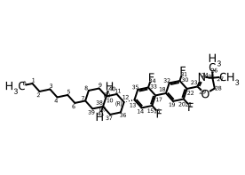 CCCCCCCC1CC[C@@H]2C[C@H](c3cc(F)c(-c4cc(F)c(C5=NC(C)(C)CO5)c(F)c4)c(F)c3)CC[C@@H]2C1